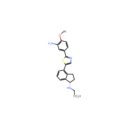 CC(C)Oc1ccc(-c2ncc(-c3cccc4c3CC[C@@H]4NCC(=O)O)s2)cc1N